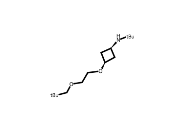 CC(C)(C)COCCO[C@H]1C[C@@H](NC(C)(C)C)C1